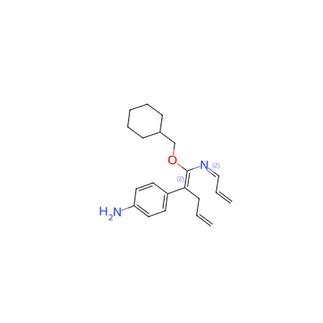 C=C/C=N\C(OCC1CCCCC1)=C(/CC=C)c1ccc(N)cc1